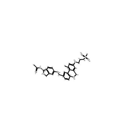 CC(=O)O[C@@H]1OCc2cc(OCc3ccc4c(c3)-c3c(C)cc(OCCCS(C)(=O)=O)cc3CO4)ccc21